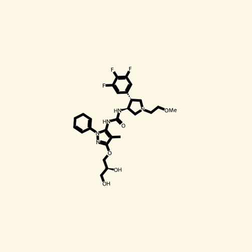 COCCN1C[C@@H](NC(=O)Nc2c(C)c(OC[C@@H](O)CO)nn2C2=CCCC=C2)[C@H](c2cc(F)c(F)c(F)c2)C1